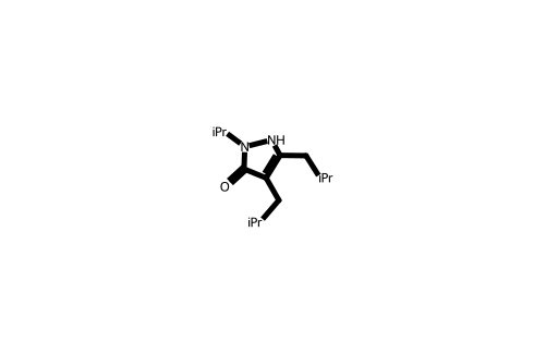 CC(C)Cc1[nH]n(C(C)C)c(=O)c1CC(C)C